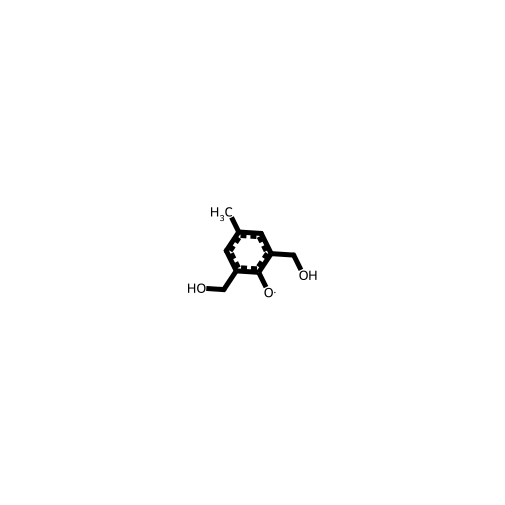 Cc1cc(CO)c([O])c(CO)c1